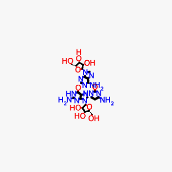 Nc1cc[nH]c(=O)n1.Nc1nc2c(ncn2[C@@H]2O[C@H](CO)[C@@H](O)[C@H]2O)c(=O)[nH]1.Nc1ncnc2c1ncn2[C@@H]1O[C@H](CO)[C@@H](O)[C@H]1O